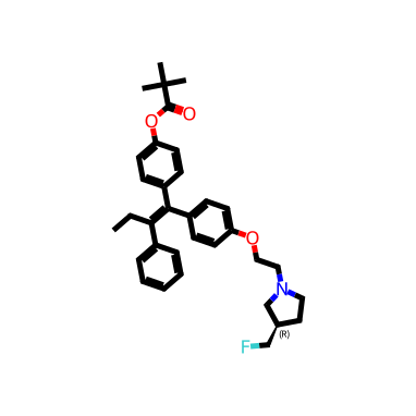 CCC(=C(c1ccc(OCCN2CC[C@@H](CF)C2)cc1)c1ccc(OC(=O)C(C)(C)C)cc1)c1ccccc1